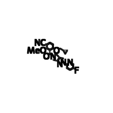 COc1c(C#N)ccc(OCC2CC2)c1C(=O)N1Cc2cn(-c3ccc(F)cn3)nc2C1